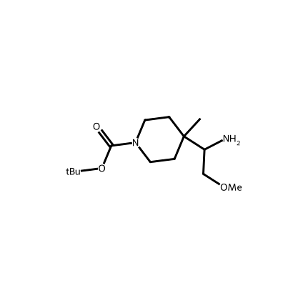 COCC(N)C1(C)CCN(C(=O)OC(C)(C)C)CC1